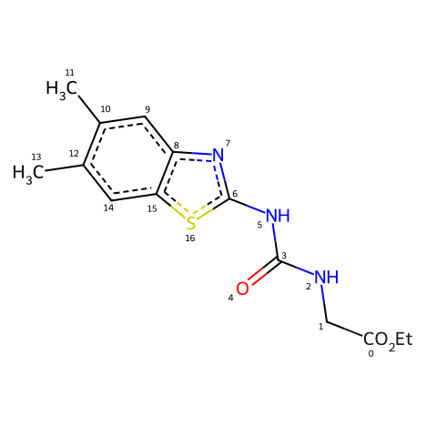 CCOC(=O)CNC(=O)Nc1nc2cc(C)c(C)cc2s1